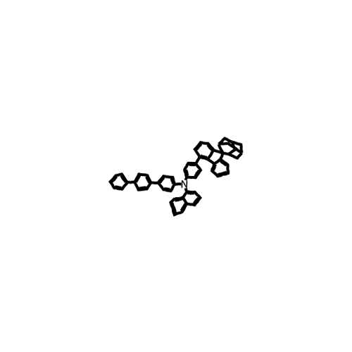 c1ccc(-c2ccc(-c3ccc(N(c4ccc(-c5cccc6c5-c5ccccc5C65C6CC7CC(C6)CC5C7)cc4)c4cccc5ccccc45)cc3)cc2)cc1